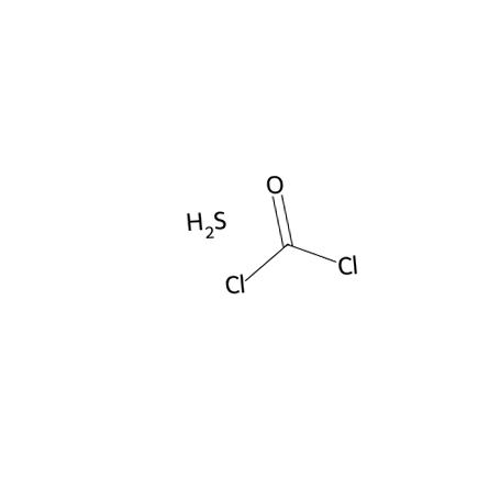 O=C(Cl)Cl.S